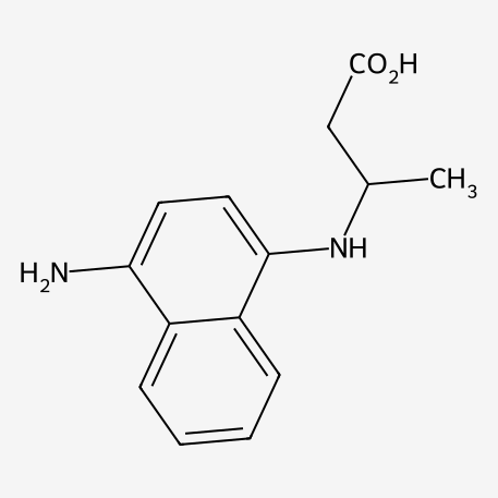 CC(CC(=O)O)Nc1ccc(N)c2ccccc12